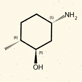 C[C@@H]1CC[C@H](N)C[C@H]1O